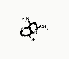 Cc1cc(N)c2nccc(O)c2n1